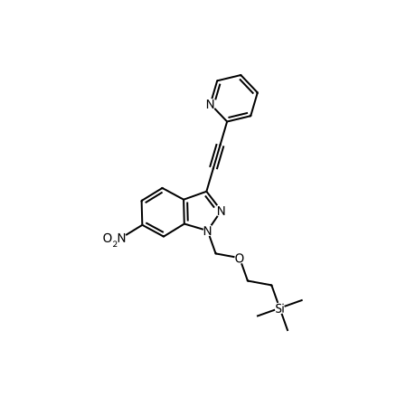 C[Si](C)(C)CCOCn1nc(C#Cc2ccccn2)c2ccc([N+](=O)[O-])cc21